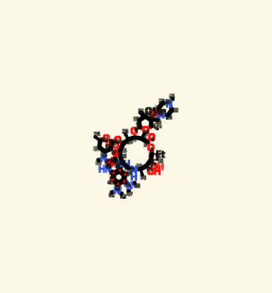 CC[C@H]1OC(=O)[C@H](C)[C@@H](O[C@H]2C[C@@](C)(OC)[C@](O)(CN3CCN(C)CC3)[C@H](C)O2)[C@H](C)[C@@H](O[C@@H]2O[C@H](C)C[C@H](N(C)C(=O)Nc3ccc(N(C)C)cc3)[C@H]2OC(=O)Nc2ccc(N(C)C)cc2)[C@](C)(O)C[C@@H](C)CN[C@H](C)[C@@H](O)[C@]1(C)O